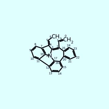 C=CC1=c2/c(=C\C)c3cccc4c5cccc(c5n2c34)-c2ccccc21